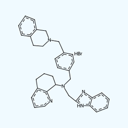 Br.c1ccc2c(c1)CCN(Cc1ccc(CN(Cc3nc4ccccc4[nH]3)C3CCCc4cccnc43)cc1)C2